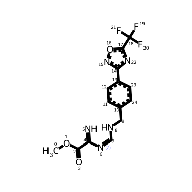 COC(=O)C(=N)/N=C\NCc1ccc(-c2noc(C(F)(F)F)n2)cc1